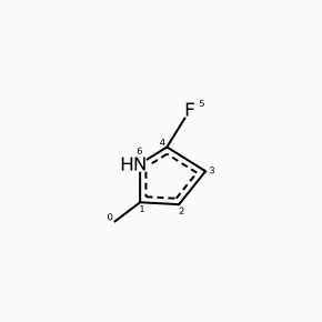 Cc1ccc(F)[nH]1